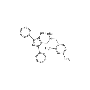 CCCCN(Cc1ccc(C)cc1C)Cc1c(-c2ccccc2)nc(-c2ccccc2)n1CCCC